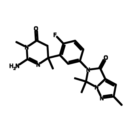 Cc1cc2n(n1)C(C)(C)N(c1ccc(F)c(C3(C)CC(=O)N(C)C(N)=N3)c1)C2=O